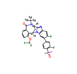 [2H]C([2H])([2H])N1C(=O)c2cccc(OC(F)F)c2[C@H]2C[C@@H]1c1nc3cc(F)c(-c4ccc(P(C)(C)=O)c(F)c4)cc3n12